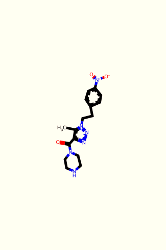 Cc1c(C(=O)N2CCNCC2)nnn1CCc1ccc([N+](=O)[O-])cc1